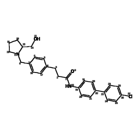 O=C(CCc1ccc(CN2CCCC2CO)cc1)Nc1ccc(-c2ccc(Cl)cc2)cc1